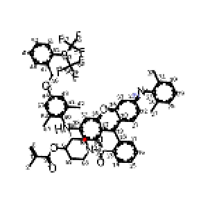 C=C(C)C(=O)OC1CCN(S(=O)(=O)c2ccccc2-c2c3cc/c(=N\c4c(C)cccc4C)cc-3oc3cc(Nc4c(C)cc(OCc5ccccc5B(C(F)(F)F)C(F)(F)F)cc4C)ccc23)CC1